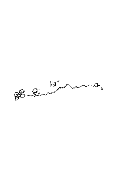 CCCCCCCCCCCCCCCCCC[S+]([O-])CCOS(=O)(=O)[O-].[Na+]